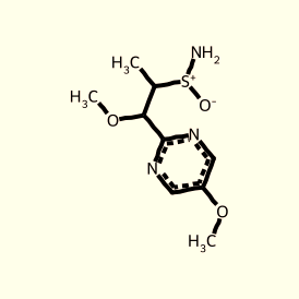 COc1cnc(C(OC)C(C)[S+](N)[O-])nc1